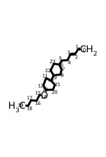 C=C/C=C/CCC1CCC(C2CCC(OCCCCC)CC2)CC1